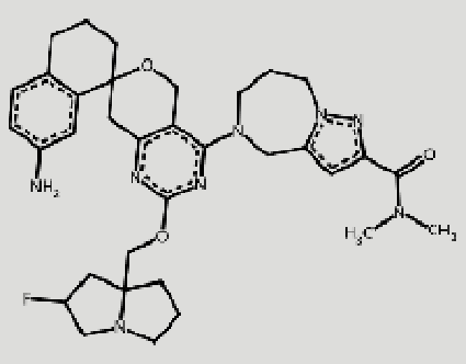 CN(C)C(=O)c1cc2n(n1)CCCN(c1nc(OCC34CCCN3CC(F)C4)nc3c1COC1(CCCc4ccc(N)cc41)C3)C2